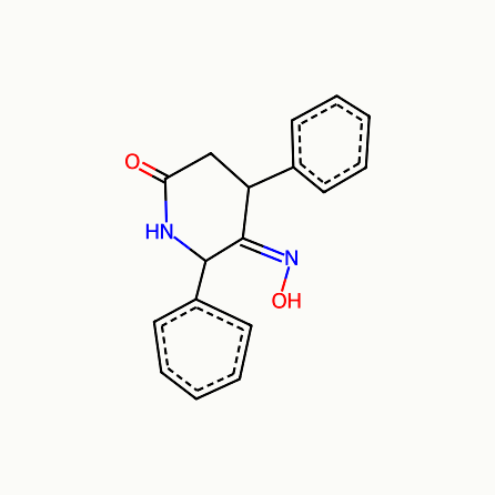 O=C1CC(c2ccccc2)C(=NO)C(c2ccccc2)N1